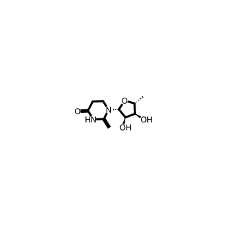 C=C1NC(=O)CCN1[C@@H]1O[C@H](C)[C@@H](O)[C@H]1O